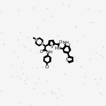 CN1CCN(C(C(=O)NC2=CCC(Cl)C=C2)c2ccc(C(=O)Nc3cc(-c4cccs4)ccc3N)s2)CC1